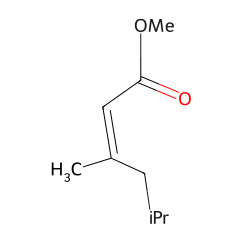 COC(=O)C=C(C)CC(C)C